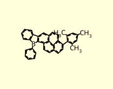 Cc1cc(C)c(-c2ccc3ccc4c5c(cc6ccc2c3c64)-c2ccccc2B5c2ccccc2)c(C)c1